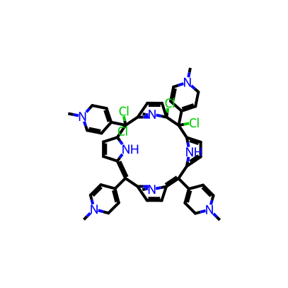 CN1C=CC(C2=C3C=CC(Cl)(N3)C(Cl)(C3=CCN(C)C=C3)C3=NC(Cl)(C=C3)C(Cl)(C3=CCN(C)C=C3)c3ccc([nH]3)C(C3=CCN(C)C=C3)=C3C=CC2=N3)=CC1